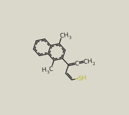 C=C=C(/C=C\S)c1cc(C)c2ccccc2c1C